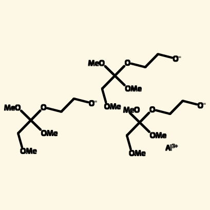 COCC(OC)(OC)OCC[O-].COCC(OC)(OC)OCC[O-].COCC(OC)(OC)OCC[O-].[Al+3]